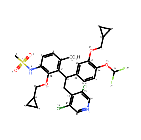 CS(=O)(=O)Nc1ccc(C(=O)O)c(C(Cc2c(Cl)cncc2Cl)c2ccc(OC(F)F)c(OCC3CC3)c2)c1OCC1CC1